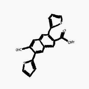 COC(=O)c1cc2cc(-c3cccs3)c(C=O)cc2cc1-c1cccs1